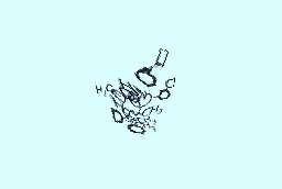 COC(=O)C[C@]1([C@@H](C)CCO[Si](c2ccccc2)(c2ccccc2)C(C)(C)C)C[C@H](c2cccc(Cl)c2)[C@@H](c2ccc(Cl)cc2)NC1=O